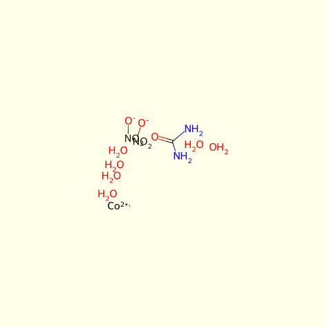 NC(N)=O.O.O.O.O.O.O.O=[N+]([O-])[O-].O=[N+]([O-])[O-].[Co+2]